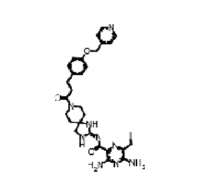 Nc1nc(N)c(C(=O)/N=C2\NCC3(CCN(C(=O)CCc4ccc(OCc5ccncc5)cc4)CC3)N2)nc1CI